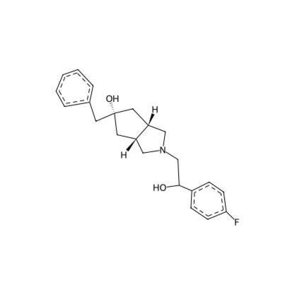 OC(CN1C[C@@H]2C[C@@](O)(Cc3ccccc3)C[C@@H]2C1)c1ccc(F)cc1